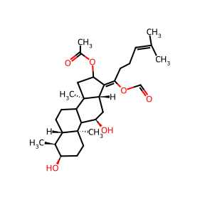 CC(=O)OC1C[C@]2(C)C3CC[C@H]4[C@H](C)[C@H](O)CC[C@]4(C)C3[C@H](O)C[C@H]2/C1=C(/CCC=C(C)C)OC=O